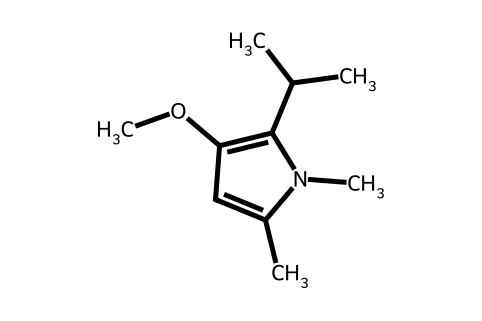 COc1cc(C)n(C)c1C(C)C